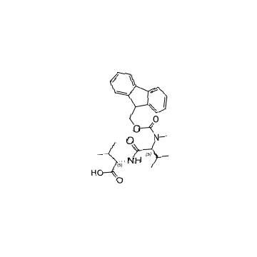 CC(C)[C@H](NC(=O)[C@H](C(C)C)N(C)C(=O)OCC1c2ccccc2-c2ccccc21)C(=O)O